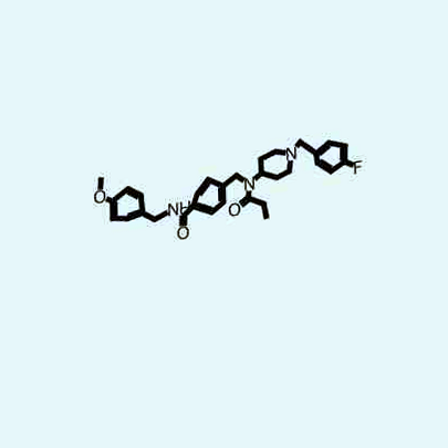 CCC(=O)N(Cc1ccc(C(=O)NCc2ccc(OC)cc2)cc1)C1CCN(Cc2ccc(F)cc2)CC1